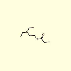 CCN(CC)CCOC(=O)CCl